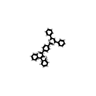 c1ccc(-c2cc(-c3ccccc3)nc(-c3ccc(-c4nc5ccccc5c5c4oc4ccccc45)cc3)n2)cc1